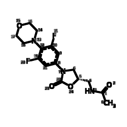 CC(=O)NC[C@H]1CN(c2cc(F)c(N3CCOCC3)c(F)c2)C(=O)O1